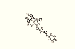 Clc1cc(O[C@H]2C[C@@H](OCc3ccccc3)C2)c2c(n1)C1(CCOC1)OCC2